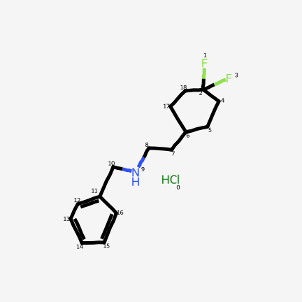 Cl.FC1(F)CCC(CCNCc2ccccc2)CC1